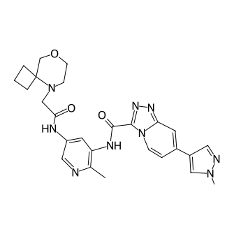 Cc1ncc(NC(=O)CN2CCOCC23CCC3)cc1NC(=O)c1nnc2cc(-c3cnn(C)c3)ccn12